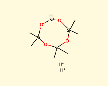 C[Si]1(C)O[SiH2]O[Si](C)(C)O[Si](C)(C)O1.[H+].[H+]